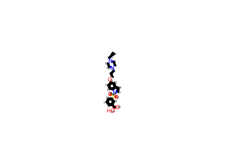 C#CCN1CCN(CCCOc2ccc3c(ccn3S(=O)(=O)c3cccc(C(=O)O)c3)c2)CC1